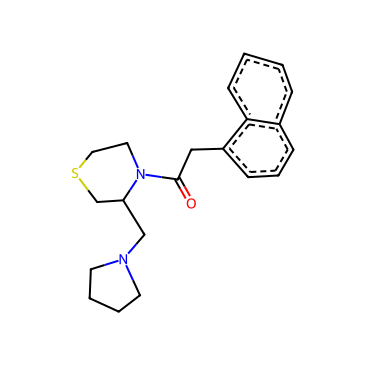 O=C(Cc1cccc2ccccc12)N1CCSCC1CN1CCCC1